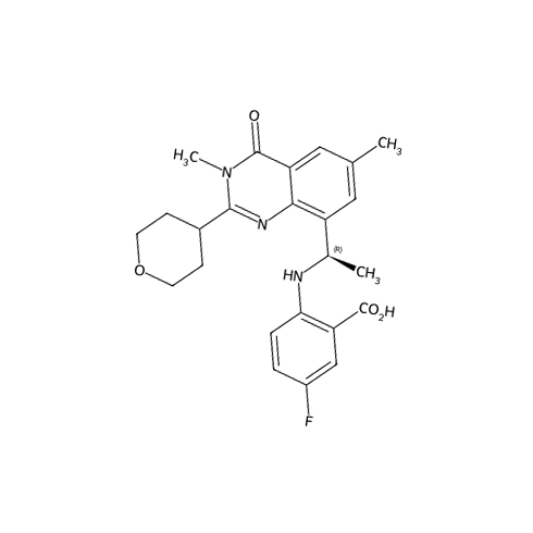 Cc1cc([C@@H](C)Nc2ccc(F)cc2C(=O)O)c2nc(C3CCOCC3)n(C)c(=O)c2c1